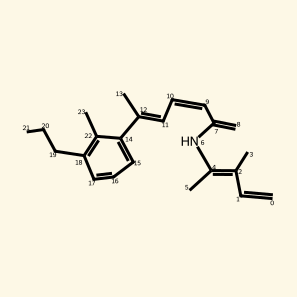 C=C/C(C)=C(\C)NC(=C)/C=C\C=C(/C)c1cccc(CCC)c1C